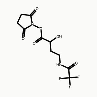 O=C(ON1C(=O)CCC1=O)C(O)CCNC(=O)C(F)(F)F